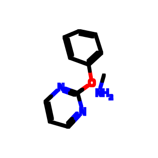 CN.c1ccc(Oc2ncccn2)cc1